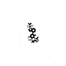 Cc1c(-c2cccc3c2ccn3S(=O)(=O)C(C)C)cc(F)c2c1-n1c(C)nnc1C(C)(C)N2